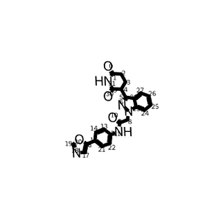 O=C1CCC(c2nn(CC(=O)Nc3ccc(-c4cnco4)cc3)c3ccccc23)C(=O)N1